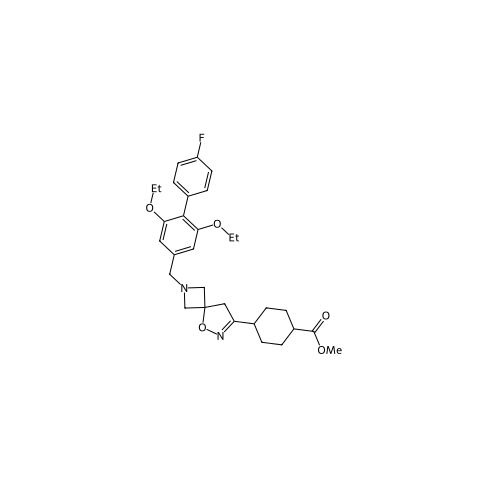 CCOc1cc(CN2CC3(CC(C4CCC(C(=O)OC)CC4)=NO3)C2)cc(OCC)c1-c1ccc(F)cc1